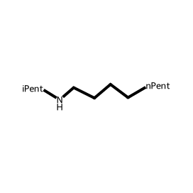 CCCCCCCCCNC(C)CCC